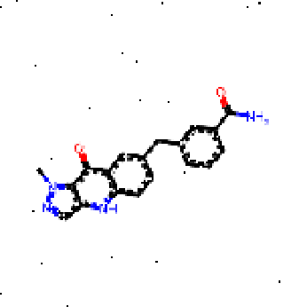 Cn1ncc2[nH]c3ccc(Cc4cccc(C(N)=O)c4)cc3c(=O)c21